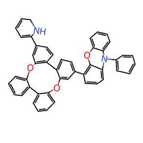 C1=CCNC(c2ccc3c(c2)Oc2ccccc2-c2ccccc2Oc2cc(-c4cccc5c4Oc4ccccc4N5c4ccccc4)ccc2-3)=C1